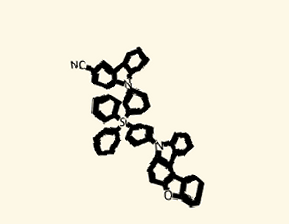 N#Cc1ccc2c(c1)c1ccccc1n2-c1cccc([Si](c2ccccc2)(c2ccccc2)c2ccc(-n3c4ccccc4c4c5c(ccc43)oc3ccccc35)cc2)c1